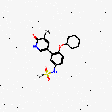 Cc1cc(-c2cc(NS(C)(=O)=O)ccc2OC2CCCCC2)c[nH]c1=O